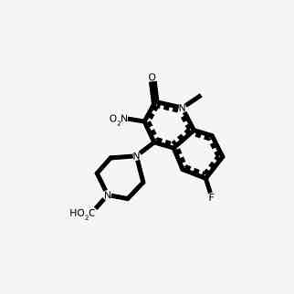 Cn1c(=O)c([N+](=O)[O-])c(N2CCN(C(=O)O)CC2)c2cc(F)ccc21